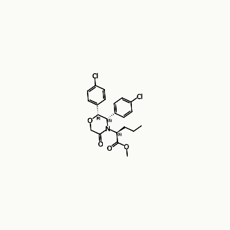 CCC[C@@H](C(=O)OC)N1C(=O)CO[C@H](c2ccc(Cl)cc2)[C@@H]1c1ccc(Cl)cc1